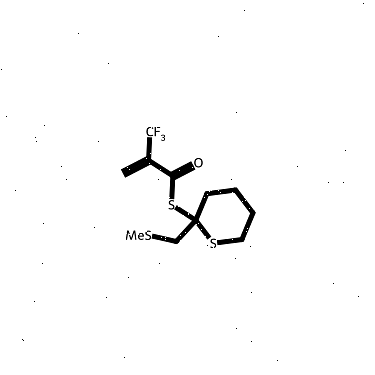 C=C(C(=O)SC1(CSC)CCCCS1)C(F)(F)F